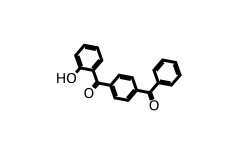 O=C(c1ccccc1)c1ccc(C(=O)c2ccccc2O)cc1